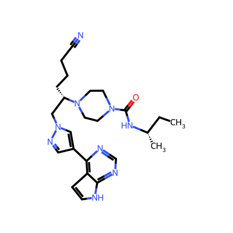 CC[C@H](C)NC(=O)N1CCN([C@@H](CCCC#N)Cn2cc(-c3ncnc4[nH]ccc34)cn2)CC1